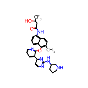 Cc1ccc2c(NC(=O)CC(O)C(F)(F)F)cccc2c1Oc1ncccc1-c1ccnc(NC2CCCNC2)n1